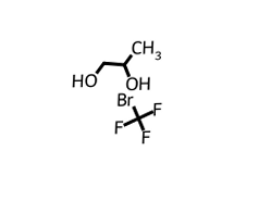 CC(O)CO.FC(F)(F)Br